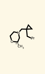 CC(C)CC1(CN2CCO[C@@H](C)C2)CC1